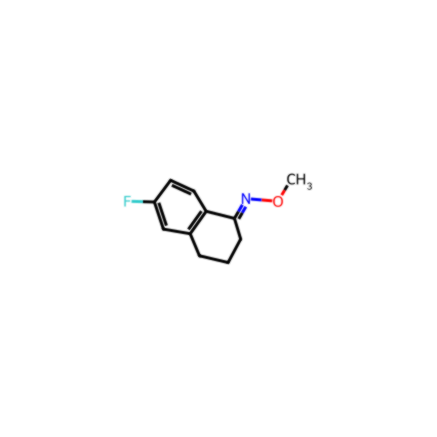 CON=C1CCCc2cc(F)ccc21